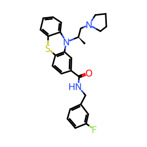 C[C@H](CN1CCCC1)N1c2ccccc2Sc2ccc(C(=O)NCc3cccc(F)c3)cc21